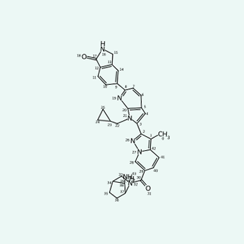 Cc1c(-c2cc3ccc(-c4ccc5c(c4)CNC5=O)nc3n2CC2CC2)nn2cc(C(=O)N3CC4CCC3[C@@H]4N)ccc12